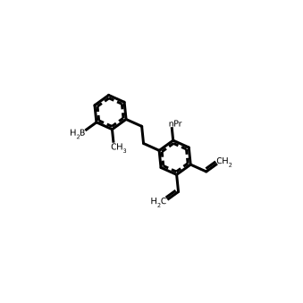 Bc1cccc(CCc2cc(C=C)c(C=C)cc2CCC)c1C